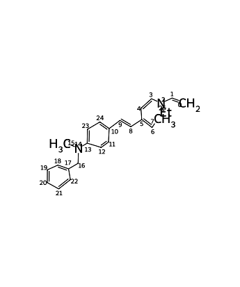 C=CN(\C=C/C(=C\C)/C=C/c1ccc(N(C)Cc2ccccc2)cc1)CC